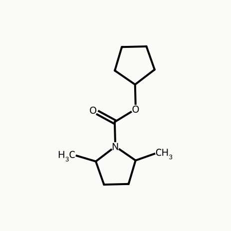 CC1CCC(C)N1C(=O)OC1CCCC1